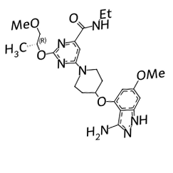 CCNC(=O)c1cc(N2CCC(Oc3cc(OC)cc4[nH]nc(N)c34)CC2)nc(O[C@H](C)COC)n1